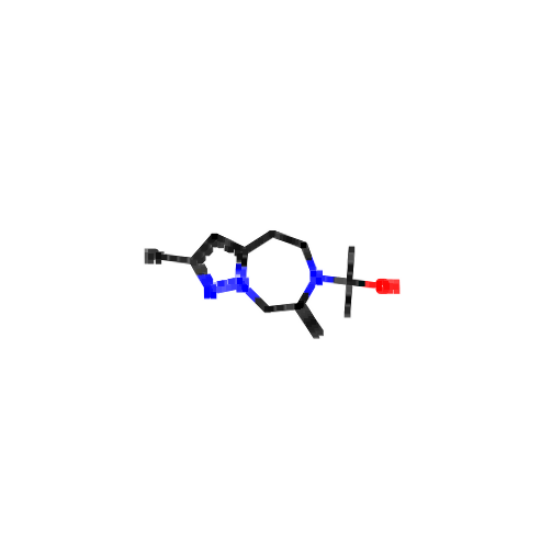 C=C1Cn2nc(C(C)C)cc2CCN1C(C)(C)O